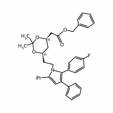 CC(C)c1cc(-c2ccccc2)c(-c2ccc(F)cc2)n1CC[C@@H]1C[C@H](CC(=O)OCc2ccccc2)OC(C)(C)O1